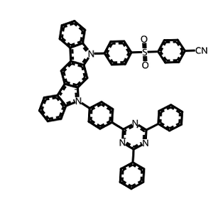 N#Cc1ccc(S(=O)(=O)c2ccc(-n3c4ccccc4c4cc5c6ccccc6n(-c6ccc(-c7nc(-c8ccccc8)nc(-c8ccccc8)n7)cc6)c5cc43)cc2)cc1